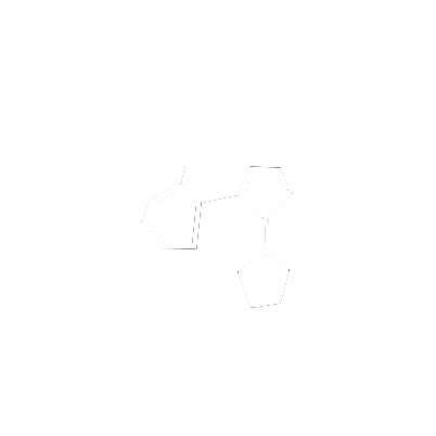 CSc1ccccc1-c1ccnn1C1CCCC1